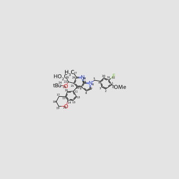 COc1ccc(Cn2ccc3c(-c4ccc5c(c4)CCCO5)c(C(OC(C)(C)C)C(=O)O)c(C)nc32)cc1F